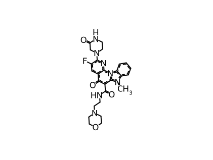 Cn1c2ccccc2n2c3nc(N4CCNC(=O)C4)c(F)cc3c(=O)c(C(=O)NCCN3CCOCC3)c12